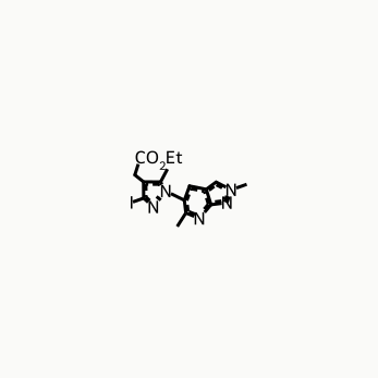 CCOC(=O)Cc1c(I)nn(-c2cc3cn(C)nc3nc2C)c1C